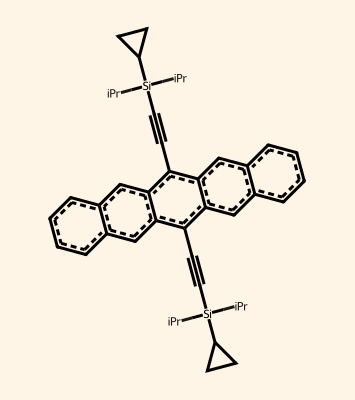 CC(C)[Si](C#Cc1c2cc3ccccc3cc2c(C#C[Si](C(C)C)(C(C)C)C2CC2)c2cc3ccccc3cc12)(C(C)C)C1CC1